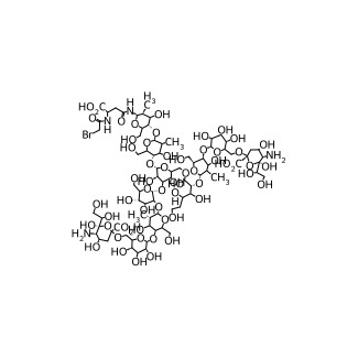 CC1C(O)[C@H](O[C@@H]2OC(CO[C@]3(C(=O)O)C[C@@H](O)[C@@H](N)[C@@](O)(C(O)CO)O3)[C@H](O)C(O)[C@@H]2O)[C@H](CO)O[C@H]1O[C@H](C(O)[C@H](O)CCO)[C@H](O)OCC1O[C@@H](O[C@@H]2C(CO)O[C@@H](O[C@@H]3C(CO)O[C@@H](NC(=O)CC(NC(=O)CBr)C(=O)O)[C@@H](C)C3O)[C@@H](C)C2O)[C@H](O)C(O[C@H]2OC(CO)[C@@H](O)C(O)C2O[C@@H]2OC(CO)[C@@H](O[C@@H]3OC(CO[C@]4(C(=O)O)C[C@@H](O)[C@@H](N)[C@@](O)(C(O)CO)O4)[C@H](O)C(O)[C@@H]3O)C(O)[C@@H]2C)[C@@H]1O